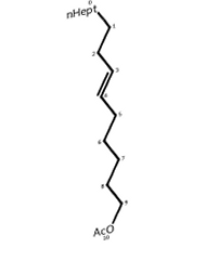 CCCCCCCCCC=CCCCCCOC(C)=O